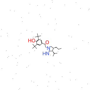 CCC[C@@H]1CN(CC(=O)c2cc(C(C)(C)C)c(O)c(C(C)(C)C)c2)C(=N)[C@@H]1C(C)C